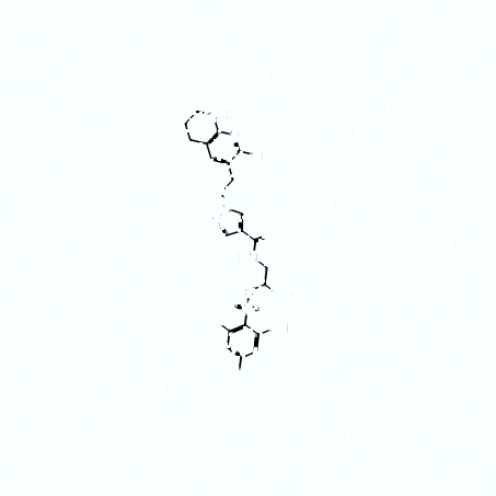 Cc1cc(C)c(S(=O)(=O)NC(CNC(=O)c2cnn(CCc3cc4c(nc3C)NCCC4)c2)C(=O)O)c(C)c1